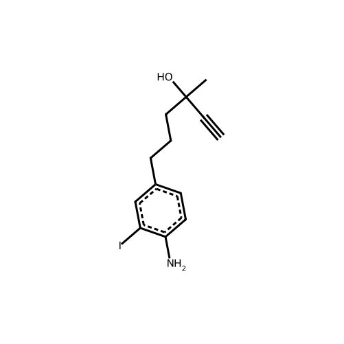 C#CC(C)(O)CCCc1ccc(N)c(I)c1